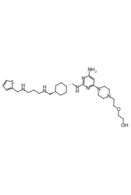 Nc1cc(N2CCN(CCOCCO)CC2)nc(NC[C@H]2CC[C@H](CNCCCNCc3cccs3)CC2)n1